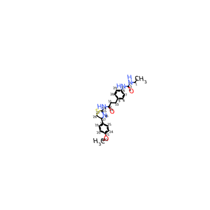 CCNC(=O)Nc1ccc(CCC(=O)NC2=NC(c3ccc(OC)cc3)CS2)cc1